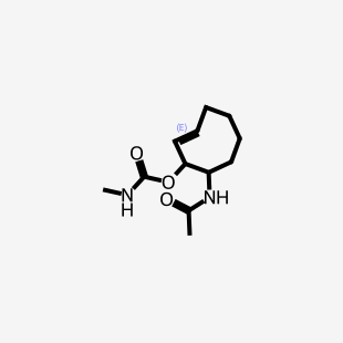 CNC(=O)OC1/C=C/CCCCC1NC(C)=O